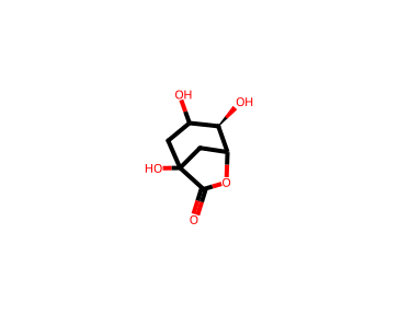 O=C1OC2CC1(O)CC(O)[C@H]2O